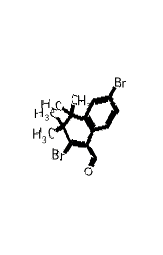 CC1(C)C(Br)=C(C=O)c2ccc(Br)cc2C1(C)C